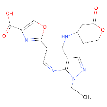 CCn1ncc2c(NC3CCOC(=O)C3)c(-c3nc(C(=O)O)co3)cnc21